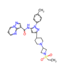 CCS(=O)(=O)N1CC(N2CCC(c3cc(NC(=O)c4cnn5cccnc45)n(-c4ccc(C)cc4)n3)CC2)C1